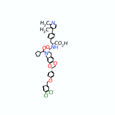 Cc1nccc(-c2ccc(C[C@H](NC(=O)[C@@H]3Cc4cc5c(cc4CN3C(=O)C3CCCC3)O[C@@H](c3ccc(OCc4ccc(Cl)c(Cl)c4)cc3)CO5)C(=O)O)cc2)c1C